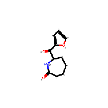 O=C1CCCCC(C(=O)c2ccco2)N1